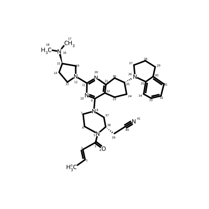 C/C=C/C(=O)N1CCN(c2nc(N3CC[C@@H](N(C)C)C3)nc3c2CC[C@@H](N2CCCc4ccccc42)C3)C[C@@H]1CC#N